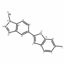 Cc1ccc2nc(-c3ccc4c(c3)nnn4C(C)C)oc2c1